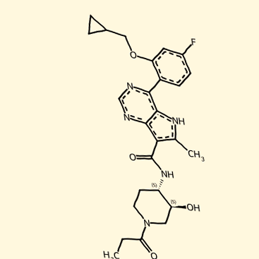 CCC(=O)N1CC[C@H](NC(=O)c2c(C)[nH]c3c(-c4ccc(F)cc4OCC4CC4)ncnc23)[C@@H](O)C1